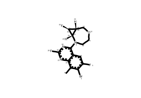 Cc1c(Br)c(F)cc2c(N3CCOC[C@H]4[C@H](F)[C@H]43)nc(F)nc12